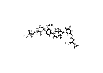 CSc1cc(-n2c(C)c3cc(-c4cc(CCCC(N)C5CC5)cc(Cl)c4F)[nH]c3nc2=O)ccc1[C@@H]1CCC[C@@H](CCNC(C)=N)N1